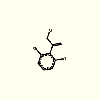 C=C(CCl)c1c(Cl)cccc1Cl